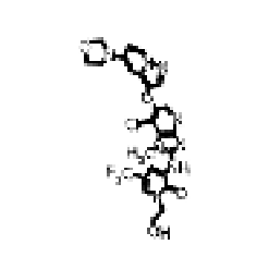 Cn1c(Nc2cc(C(F)(F)F)cn(CCO)c2=O)nc2ncc(Oc3cnn4ccc(N5CCOCC5)cc34)c(Cl)c21